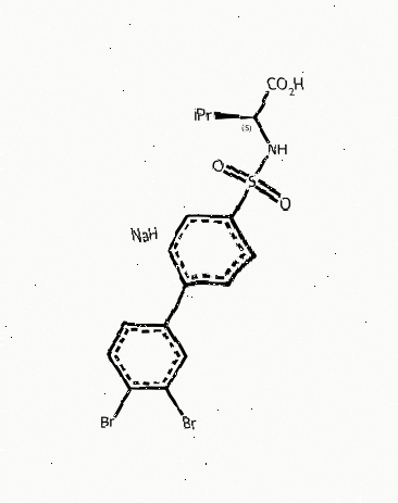 CC(C)[C@H](NS(=O)(=O)c1ccc(-c2ccc(Br)c(Br)c2)cc1)C(=O)O.[NaH]